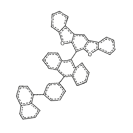 c1cc(-c2cccc3ccccc23)cc(-c2c3ccccc3c(-c3c4oc5ccccc5c4cc4c3oc3ccccc34)c3ccccc23)c1